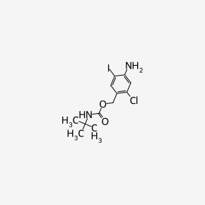 CC(C)(C)NC(=O)OCc1cc(I)c(N)cc1Cl